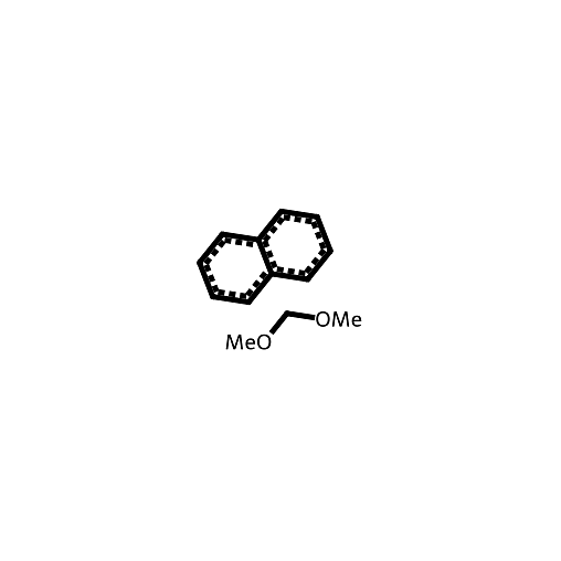 COCOC.c1ccc2ccccc2c1